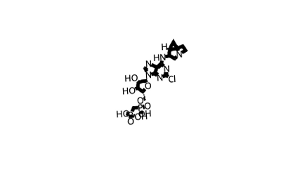 O=P(O)(O)CP(=O)(O)OC[C@H]1O[C@@H](n2cnc3c(NC4CN5CCC56C[C@@H]46)nc(Cl)nc32)C(O)C1O